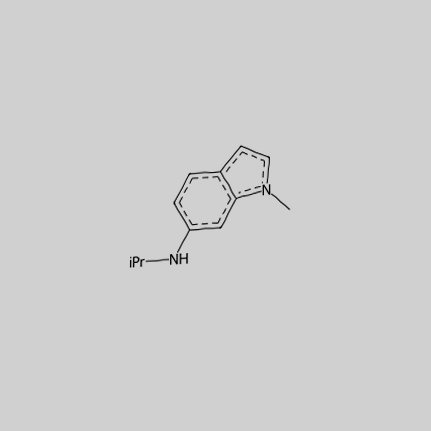 CC(C)Nc1ccc2ccn(C)c2c1